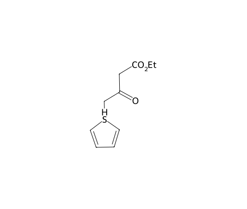 CCOC(=O)CC(=O)C[SH]1C=CC=C1